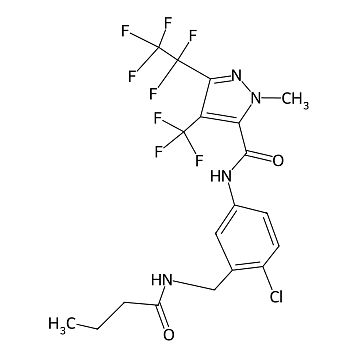 CCCC(=O)NCc1cc(NC(=O)c2c(C(F)(F)F)c(C(F)(F)C(F)(F)F)nn2C)ccc1Cl